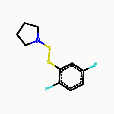 Fc1ccc(F)c(SSN2CCCC2)c1